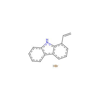 Br.C=Cc1cccc2c1[nH]c1ccccc12